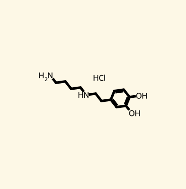 Cl.NCCCCNCCc1ccc(O)c(O)c1